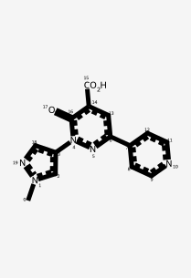 Cn1cc(-n2nc(-c3ccncc3)cc(C(=O)O)c2=O)cn1